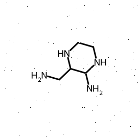 NCC1NCCNC1N